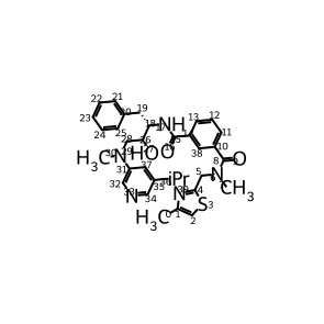 Cc1csc(CN(C)C(=O)c2cccc(C(=O)N[C@@H](Cc3ccccc3)[C@@H](O)CN(C)c3cncc(C(C)C)c3)c2)n1